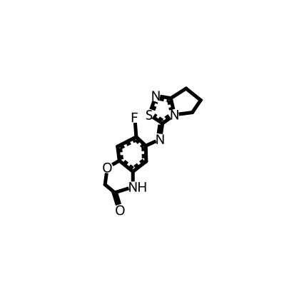 O=C1COc2cc(F)c(/N=c3\snc4n3CCC4)cc2N1